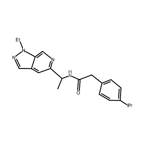 CCn1ncc2cc(C(C)NC(=O)Cc3ccc(C(C)C)cc3)ncc21